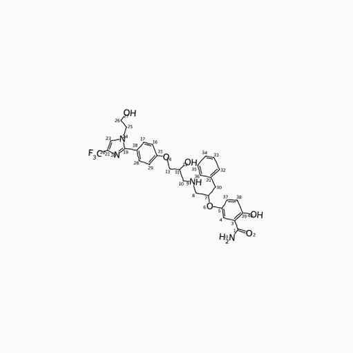 NC(=O)c1cc(OC(CNCC(O)COc2ccc(-c3nc(C(F)(F)F)cn3CCO)cc2)Cc2ccccc2)ccc1O